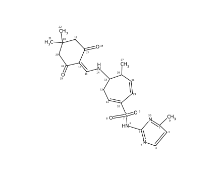 Cc1ccnc(NS(=O)(=O)C2=CCC(NC=C3C(=O)CC(C)(C)CC3=O)C(C)C=C2)n1